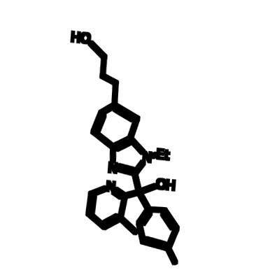 CCn1c(C(O)(c2ccc(C)cc2)c2ncccc2C)nc2ccc(CCCO)cc21